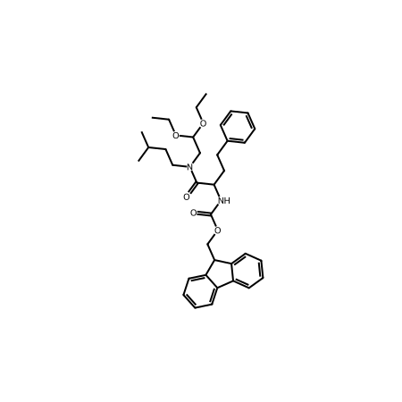 CCOC(CN(CCC(C)C)C(=O)C(CCc1ccccc1)NC(=O)OCC1c2ccccc2-c2ccccc21)OCC